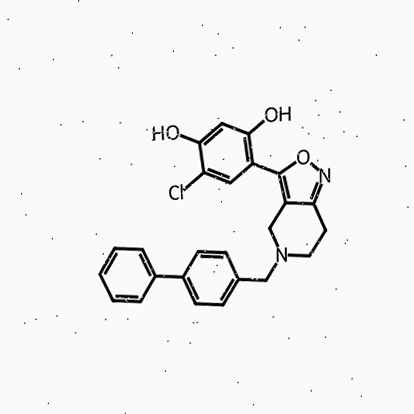 Oc1cc(O)c(-c2onc3c2CN(Cc2ccc(-c4ccccc4)cc2)CC3)cc1Cl